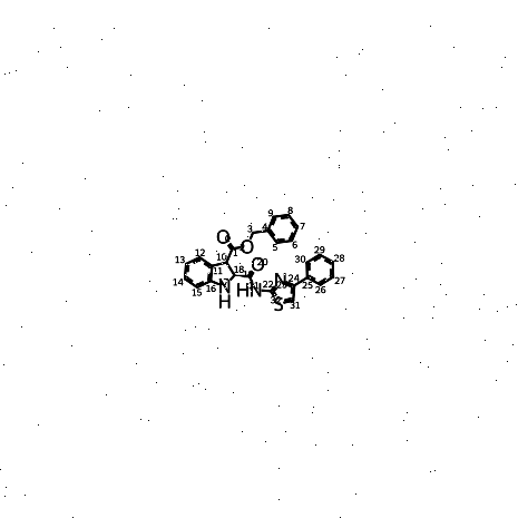 O=C(OCc1ccccc1)C1c2ccccc2N[C@@H]1C(=O)Nc1nc(-c2ccccc2)cs1